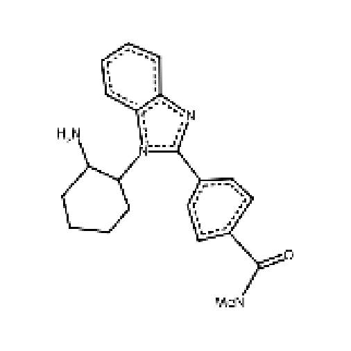 CNC(=O)c1ccc(-c2nc3ccccc3n2C2CCCCC2N)cc1